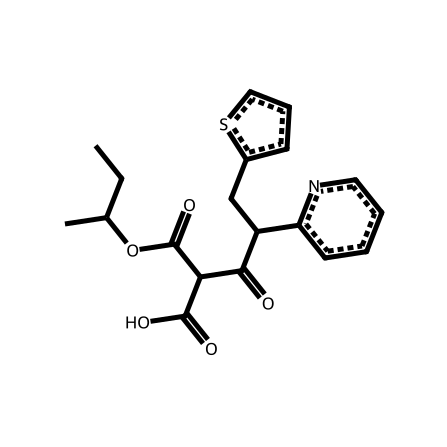 CCC(C)OC(=O)C(C(=O)O)C(=O)C(Cc1cccs1)c1ccccn1